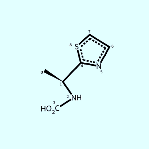 C[C@H](NC(=O)O)c1nccs1